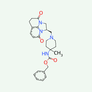 CC1(NC(=O)OCc2ccccc2)CCN(C[C@@H]2CN3C(=O)CCc4ccc(=O)n2c43)CC1